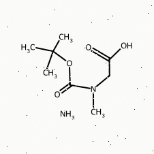 CN(CC(=O)O)C(=O)OC(C)(C)C.N